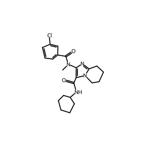 CN(C(=O)c1cccc(Cl)c1)c1nc2n(c1C(=O)NC1CCCCC1)CCCC2